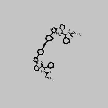 COC(=O)N[C@@H](C(=O)N1CCC[C@H]1c1ncc(-c2ccc(C#Cc3ccc(-c4nnc([C@@H]5CCCN5C(=O)[C@H](NC(=O)OC)c5ccccc5)[nH]4)cc3)cc2)[nH]1)c1ccccc1